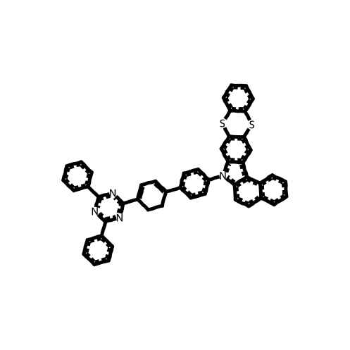 C1=C(c2ccc(-n3c4cc5c(cc4c4c6ccccc6ccc43)Sc3ccccc3S5)cc2)CCC(c2nc(-c3ccccc3)nc(-c3ccccc3)n2)=C1